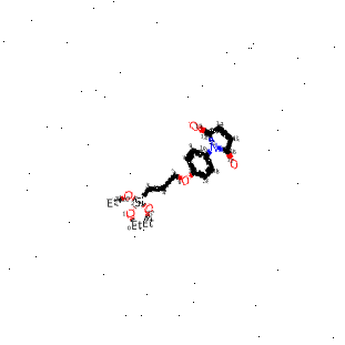 CCO[Si](CCCOc1ccc(N2C(=O)C=CC2=O)cc1)(OCC)OCC